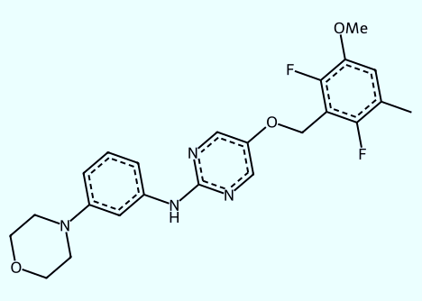 COc1cc(C)c(F)c(COc2cnc(Nc3cccc(N4CCOCC4)c3)nc2)c1F